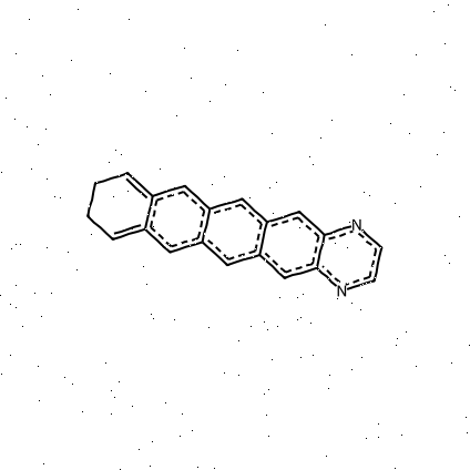 C1=c2cc3cc4cc5nccnc5cc4cc3cc2=CCC1